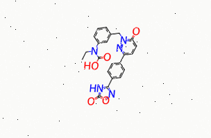 CCN(C(=O)O)c1cccc(Cn2nc(-c3ccc(-c4noc(=O)[nH]4)cc3)ccc2=O)c1